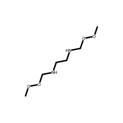 COOCNCCNCOOC